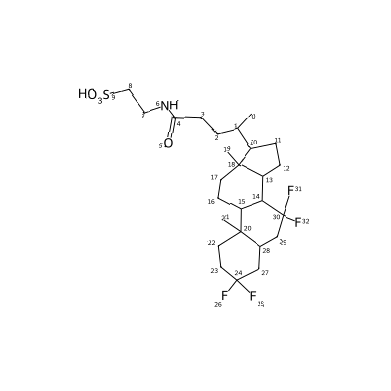 CC(CCC(=O)NCCS(=O)(=O)O)C1CCC2C3C(CCC12C)C1(C)CCC(F)(F)CC1CC3(F)F